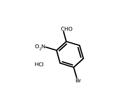 Cl.O=Cc1ccc(Br)cc1[N+](=O)[O-]